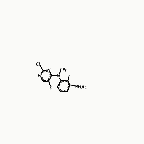 CCCN(c1cccc(NC(C)=O)c1C)c1nc(Cl)ncc1F